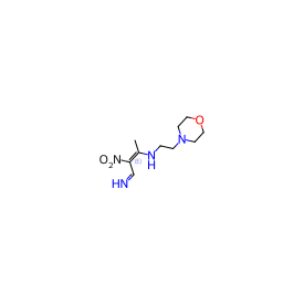 C/C(NCCN1CCOCC1)=C(/C=N)[N+](=O)[O-]